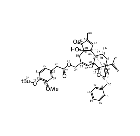 C=C(C)[C@]12C[C@@H](C)[C@@]34O[C@](Cc5ccccc5)(O[C@]1(C)[C@]3(C)C=C(COC(=O)Cc1ccc(OC(C)(C)C)c(OC)c1)C[C@]1(O)C(=O)C(C)=C[C@@]41C)O2